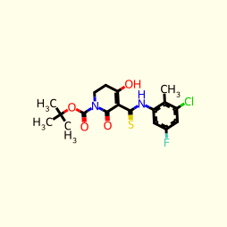 Cc1c(Cl)cc(F)cc1NC(=S)C1=C(O)CCN(C(=O)OC(C)(C)C)C1=O